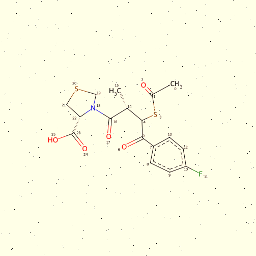 CC(=O)SC(C(=O)c1ccc(F)cc1)[C@@H](C)C(=O)N1CSC[C@H]1C(=O)O